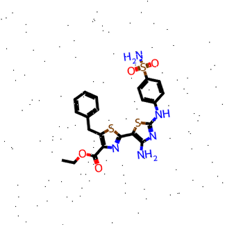 CCOC(=O)c1nc(-c2sc(Nc3ccc(S(N)(=O)=O)cc3)nc2N)sc1Cc1ccccc1